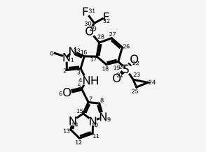 Cn1cc(NC(=O)c2cnn3cccnc23)c(-c2cc(S(=O)(=O)C3CC3)ccc2OC(F)F)n1